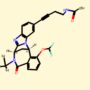 [2H]C([2H])([2H])N1C(=O)c2cccc(OC(F)F)c2[C@H]2C[C@@H]1c1nc3ccc(C#CCCNC(=O)C(C)(C)C)cc3n12